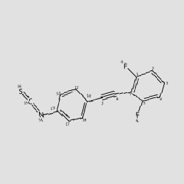 Fc1cccc(F)c1C#Cc1ccc(N=C=S)cc1